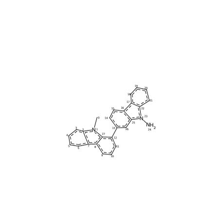 Cn1c2ccccc2c2cccc(-c3ccc4c5ccccc5n(N)c4c3)c21